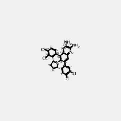 Nc1nc2cc(-c3ccc(Cl)c(Cl)c3)c(N3CCCC3)c(-c3ccc(Cl)c(Cl)c3)c2nc1N